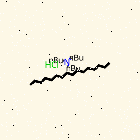 CCCCCCCCCCCCCCCC.CCCCN(CCCC)CCCC.Cl